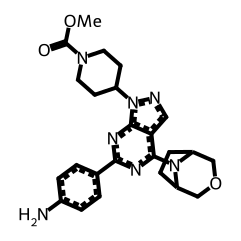 COC(=O)N1CCC(n2ncc3c(N4C5CCC4COC5)nc(-c4ccc(N)cc4)nc32)CC1